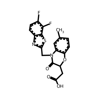 Cc1ccc2c(c1)N(Cc1nc3ccc(F)c(F)c3s1)C(=O)C(CC(=O)O)O2